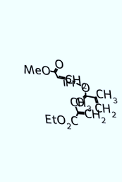 C=C(C)C(=O)OC(C)C.C=C(C)C(=O)OCC.C=CC(=O)OC